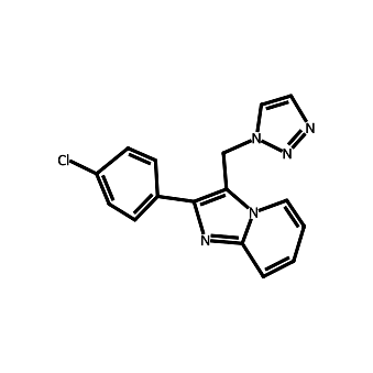 Clc1ccc(-c2nc3ccccn3c2Cn2ccnn2)cc1